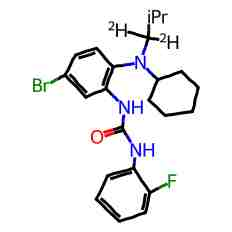 [2H]C([2H])(C(C)C)N(c1ccc(Br)cc1NC(=O)Nc1ccccc1F)C1CCCCC1